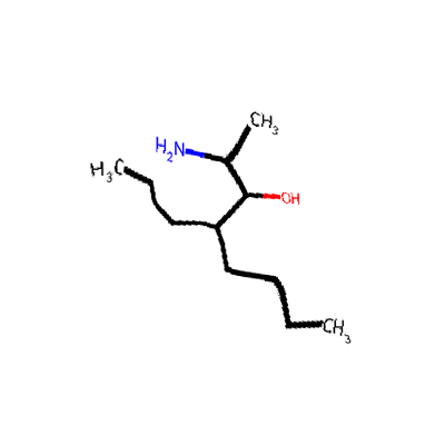 CCCCC(CCC)C(O)C(C)N